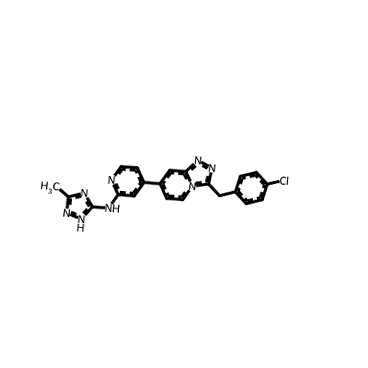 Cc1n[nH]c(Nc2cc(-c3ccn4c(Cc5ccc(Cl)cc5)nnc4c3)ccn2)n1